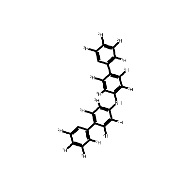 [2H]c1cc(-c2c([2H])c([2H])c(Nc3c([2H])c([2H])c(-c4cc([2H])c([2H])c([2H])c4[2H])c([2H])c3[2H])c([2H])c2[2H])c([2H])c([2H])c1[2H]